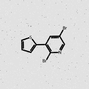 Brc1cnc(Br)c(-c2cccs2)c1